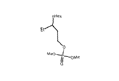 CCCCCCC(CC)CCOP(=O)(OC)OC